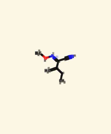 C=C(CC)/C(C#N)=N\OC